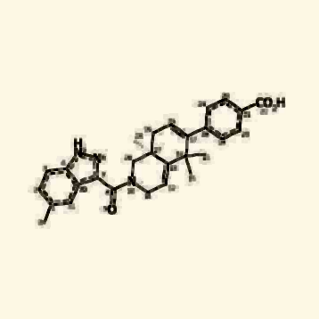 Cc1ccc2[nH]nc(C(=O)N3CC=C4C(C)(C)C(c5ccc(C(=O)O)cc5)=CC[C@]4(C)C3)c2c1